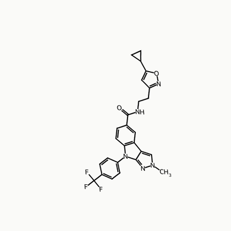 Cn1cc2c3cc(C(=O)NCCc4cc(C5CC5)on4)ccc3n(-c3ccc(C(F)(F)F)cc3)c2n1